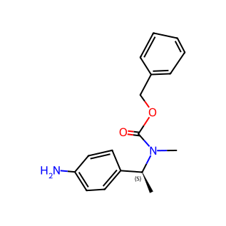 C[C@@H](c1ccc(N)cc1)N(C)C(=O)OCc1ccccc1